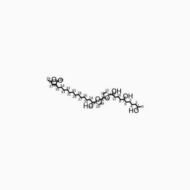 CC(O)CCCCC(O)CCC[C@H](O)[C@H]1CC[C@H]([C@H]2CC[C@H]([C@H](O)CCCCCCCCCCCCC3=CC(C)OC3=O)O2)O1